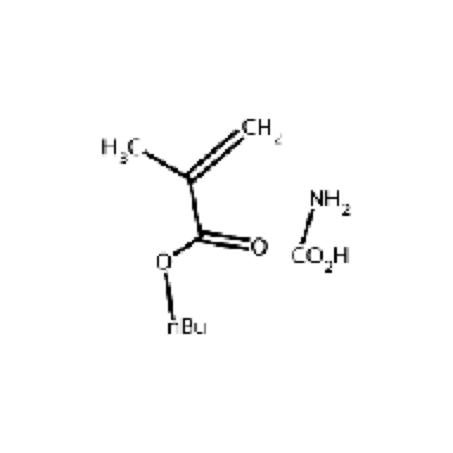 C=C(C)C(=O)OCCCC.NC(=O)O